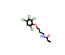 C=CC(=O)NCCCCOc1c(Cl)cc(Cl)c(Cl)c1Cl